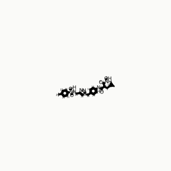 O=C(NO)C(CC1CC1)C(=O)Nc1ccc(Cn2cc(CNS(=O)(=O)c3ccc(I)cc3)nn2)cc1